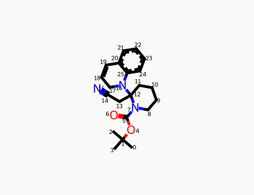 CC(C)(C)OC(=O)N1CCCCC1(CC#N)N1CC=Cc2ccccc21